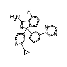 NC1=NC(c2cccc(-c3cnccn3)c2)(c2ccnc(C3CC3)c2)c2cccc(F)c21